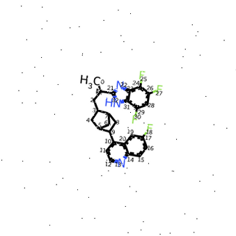 C[C@H](CC1CC2CC1CC2c1ccnc2ccc(F)cc12)c1nc2c(F)c(F)cc(F)c2[nH]1